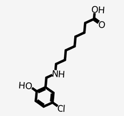 O=C(O)CCCCCCCNCc1cc(Cl)ccc1O